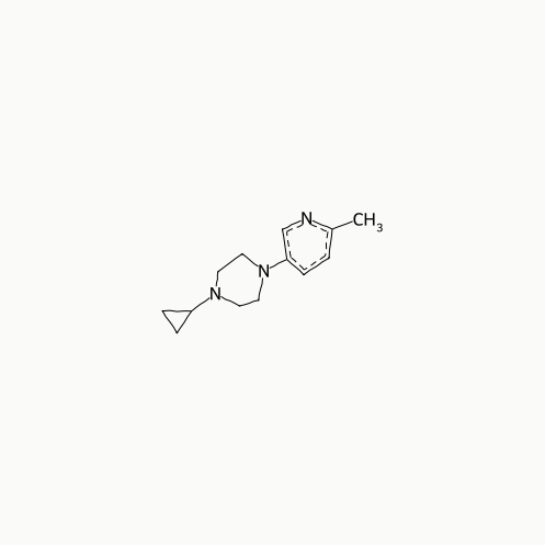 Cc1ccc(N2CCN(C3CC3)CC2)cn1